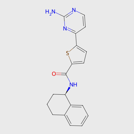 Nc1nccc(-c2ccc(C(=O)N[C@@H]3CCCc4ccccc43)s2)n1